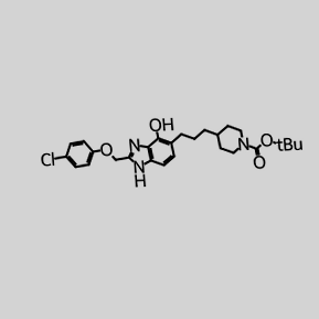 CC(C)(C)OC(=O)N1CCC(CCCc2ccc3[nH]c(COc4ccc(Cl)cc4)nc3c2O)CC1